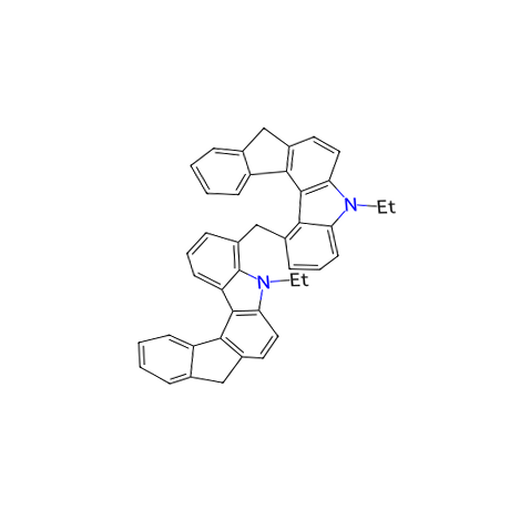 CCn1c2cccc(Cc3cccc4c5c6c(ccc5n(CC)c34)Cc3ccccc3-6)c2c2c3c(ccc21)Cc1ccccc1-3